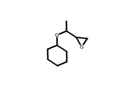 CC(OC1CCCCC1)C1CO1